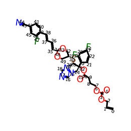 C=CCOC(=O)OCCCC(=O)O[C@@](Cn1cncn1)(c1ccc(F)cc1F)[C@@H](C)S[C@H]1CO[C@H](C=CC=Cc2ccc(C#N)cc2F)OC1